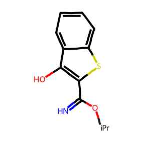 CC(C)OC(=N)c1sc2ccccc2c1O